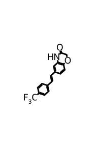 O=C1COc2ccc(/C=C/c3ccc(C(F)(F)F)cc3)cc2N1